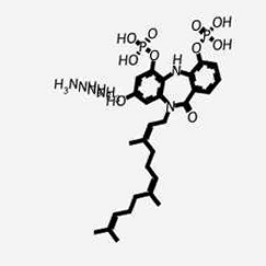 CC(C)=CCCC(C)=CCCC(C)=CCN1C(=O)c2cccc(OP(=O)(O)O)c2Nc2c(OP(=O)(O)O)cc(O)cc21.N.N.N.N